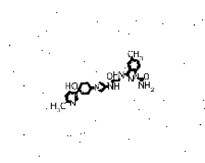 Cc1ccc2c(c1)c(NCC(=O)NC1CN(C3CCC(O)(c4ccc(C)nc4)CC3)C1)nn2C(N)=O